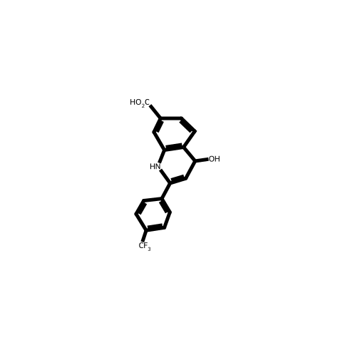 O=C(O)c1ccc2c(c1)NC(c1ccc(C(F)(F)F)cc1)=CC2O